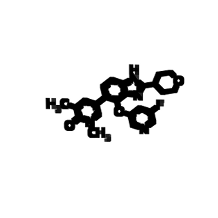 Cc1cc(-c2ccc3[nH]c(C4CCOCC4)nc3c2Oc2cncc(F)c2)cn(C)c1=O